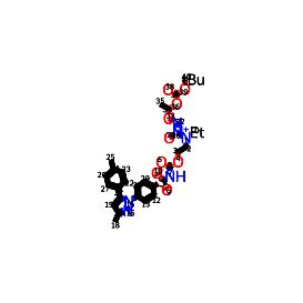 CCN(CCOC(=O)NS(=O)(=O)c1ccc(-n2nc(C)cc2-c2ccc(C)cc2)cc1)/[N+]([O-])=N/OC(C)OC(=O)OC(C)(C)C